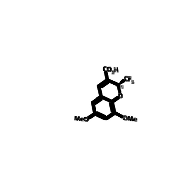 COc1cc2c(c(OC)c1)O[C@H](C(F)(F)F)C(C(=O)O)=C2